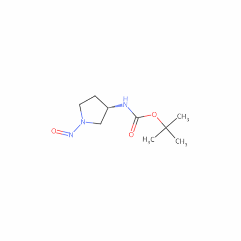 CC(C)(C)OC(=O)N[C@@H]1CCN(N=O)C1